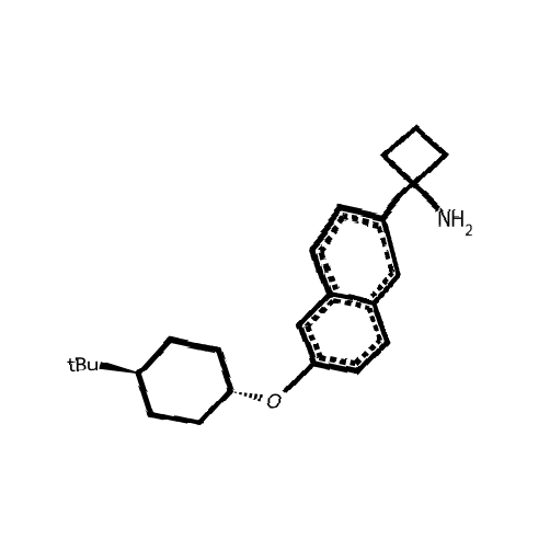 CC(C)(C)[C@H]1CC[C@H](Oc2ccc3cc(C4(N)CCC4)ccc3c2)CC1